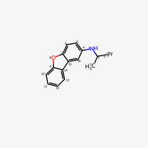 CC(C)C(C)Nc1ccc2oc3ccccc3c2c1